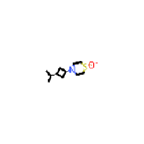 CC(C)[C@H]1C[C@@H](N2CC[S+]([O-])CC2)C1